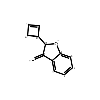 O=C1c2ccccc2OC1C1C=CC1